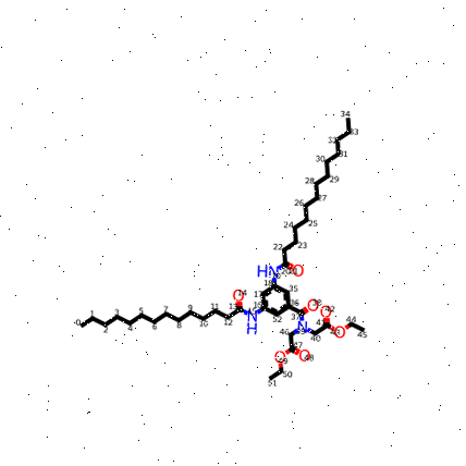 CCCCCCCCCCCCCC(=O)Nc1cc(NC(=O)CCCCCCCCCCCCC)cc(C(=O)N(CC(=O)OCC)CC(=O)OCC)c1